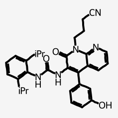 CC(C)c1cccc(C(C)C)c1NC(=O)Nc1c(-c2cccc(O)c2)c2cccnc2n(CCCC#N)c1=O